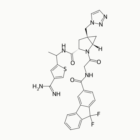 CC(NC(=O)[C@@H]1C[C@]2(Cn3ccnn3)C[C@@H]2N1C(=O)CNC(=O)c1ccc2c(c1)-c1ccccc1C2(F)F)c1cc(C(=N)N)cs1